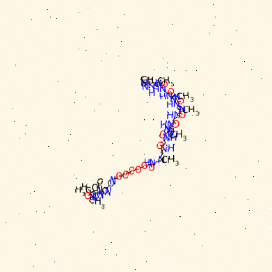 Cc1cc(-c2nc3cnc(C4CCN(CCOCCOCCOCCOCCOCCC(=O)NCCCN(C)CCCNC(=O)CCNC(=O)c5nc(NC(=O)CCNC(=O)c6cc(NC(=O)c7nc(NC(=O)CCNC(=O)c8cc(NC(=O)c9nccn9C)cn8C)cn7C)cn6C)cn5C)CC4)cc3n2[C@@H](C)c2ccccc2)nn(C)c1=O